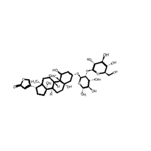 C[C@]12CC[C@H]3[C@@H](CC[C@]4(O)C[C@@H](O[C@@H]5O[C@@H](O)[C@H](O)[C@@H](O)[C@H]5O[C@@H]5O[C@H](CO)[C@@H](O)[C@H](O)[C@H]5O)CC(O)[C@@]34C=O)[C@@]1(O)CC[C@@H]2C1=CC(=O)OC1